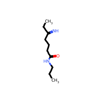 CCCNC(=O)CCCC(=N)CC